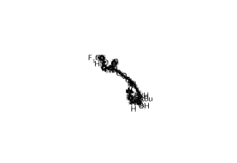 Cc1ccc(NC(=O)c2cccc(C(F)(F)F)c2)cc1-c1cnc(OCCOCCOCCOCc2cn(CCCCCC(=O)NC(C(=O)N3C[C@H](O)C[C@H]3C(=O)N[C@@H](C)c3ccc(-c4scnc4C)cc3)C(C)(C)C)nn2)c(N2CCOCC2)c1